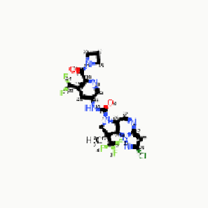 C[C@@]1(C(F)(F)F)CN(C(=O)Nc2cnc(C(=O)N3CCC3)c(C(F)F)c2)c2cnc3cc(Cl)nn3c21